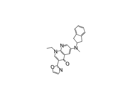 CCn1cc(-c2ncco2)c(=O)c2cc(N(C)C3Cc4ccccc4C3)cnc21